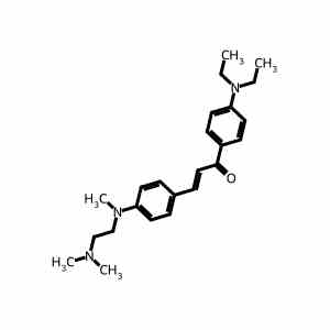 CCN(CC)c1ccc(C(=O)C=Cc2ccc(N(C)CCN(C)C)cc2)cc1